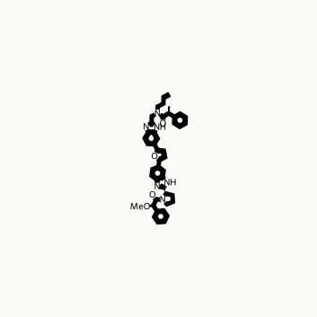 C=CCCN(Cc1nc2ccc(-c3ccc(-c4ccc5nc([C@@H]6CCCN6C(=O)[C@H](OC)c6ccccc6)[nH]c5c4)o3)cc2[nH]1)C(=O)[C@@H](C)c1ccccc1